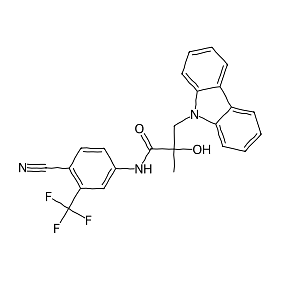 CC(O)(Cn1c2ccccc2c2ccccc21)C(=O)Nc1ccc(C#N)c(C(F)(F)F)c1